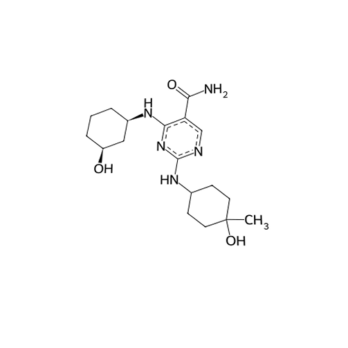 CC1(O)CCC(Nc2ncc(C(N)=O)c(N[C@@H]3CCC[C@H](O)C3)n2)CC1